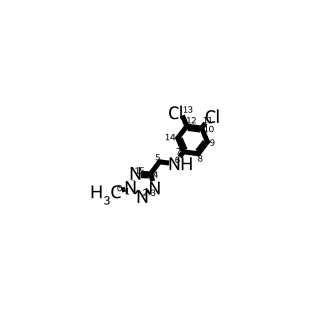 Cn1nnc(CNc2ccc(Cl)c(Cl)c2)n1